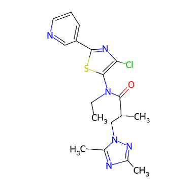 CCN(C(=O)C(C)Cn1nc(C)nc1C)c1sc(-c2cccnc2)nc1Cl